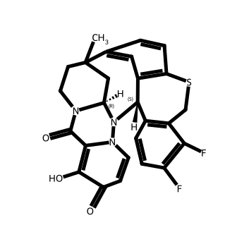 CC12CCN3C(=O)c4c(O)c(=O)ccn4N([C@@H]4c5cc1ccc5SCc1c4ccc(F)c1F)[C@@H]3C2